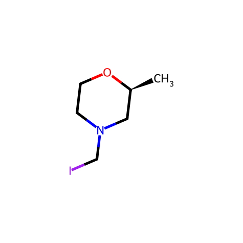 C[C@H]1CN(CI)CCO1